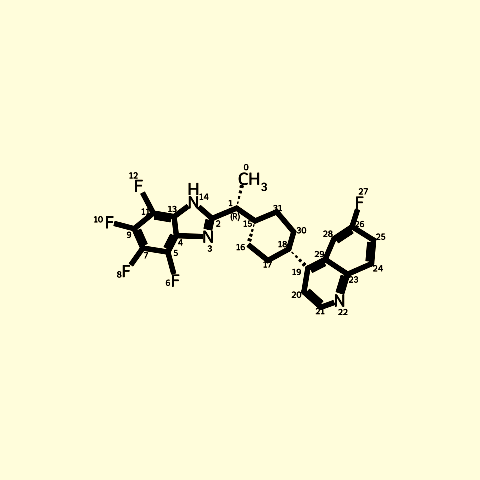 C[C@@H](c1nc2c(F)c(F)c(F)c(F)c2[nH]1)[C@H]1CC[C@@H](c2ccnc3ccc(F)cc32)CC1